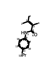 CC(C)=C(C)C(=O)Nc1ccc(C(C)C)cc1